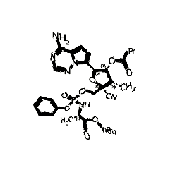 CCCCOC(=O)[C@H](C)NP(=O)(OC[C@@]1(C#N)O[C@@H](c2ccc3c(N)ncnn23)[C@H](OC(=O)C(C)C)[C@@H]1C)Oc1ccccc1